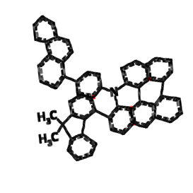 CC1(C)c2ccccc2-c2c(-c3ccccc3N(c3ccc(-c4cccc5c4ccc4ccccc45)cc3)c3ccccc3-c3cccc4cccc(-c5ccccc5)c34)cccc21